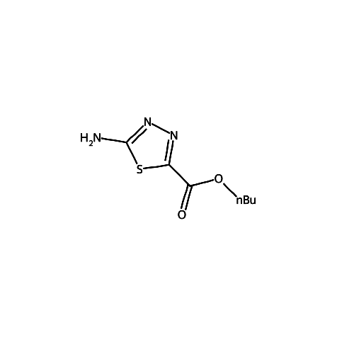 CCCCOC(=O)c1nnc(N)s1